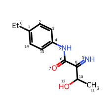 CCc1ccc(NC(=O)C(=N)C(C)O)cc1